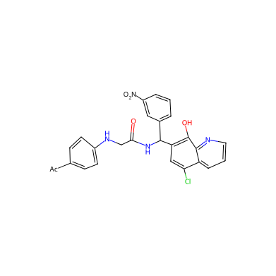 CC(=O)c1ccc(NCC(=O)NC(c2cccc([N+](=O)[O-])c2)c2cc(Cl)c3cccnc3c2O)cc1